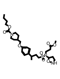 CCCCOC(=O)N1CCC(COc2ccc(C(C)CCS(=O)(=O)N(CCC(=O)OC)C3CCNO3)cc2)CC1